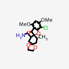 COc1cc(OC)c2c(c1Cl)O[C@]1(C2=O)C(CN)CC2(C[C@H]1C)OCCO2